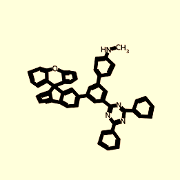 CNc1ccc(-c2cc(-c3ccc4c(c3)C3(c5ccccc5Oc5ccccc53)c3ccccc3-4)cc(-c3nc(-c4ccccc4)nc(-c4ccccc4)n3)c2)cc1